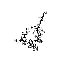 CC(C)(COP(=O)(O)OP(=O)(O)OC[C@H]1O[C@@H](n2cnc3c(N)nc(C(=O)CN)nc32)[C@H](O)[C@@H]1OP(=O)(O)O)C(O)C(=O)NCCC(=O)NCCS